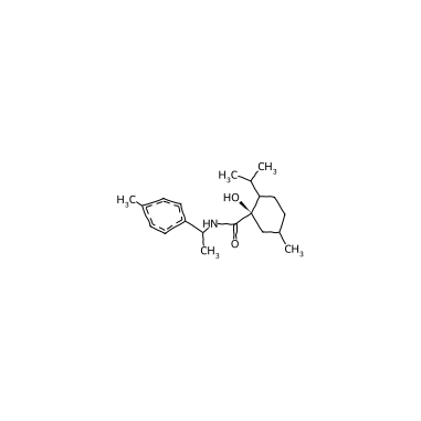 Cc1ccc(C(C)NC(=O)[C@@]2(O)CC(C)CCC2C(C)C)cc1